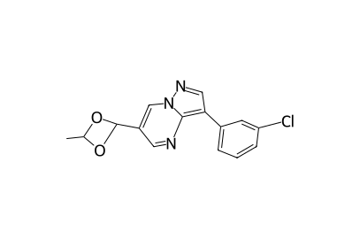 CC1OC(c2cnc3c(-c4cccc(Cl)c4)cnn3c2)O1